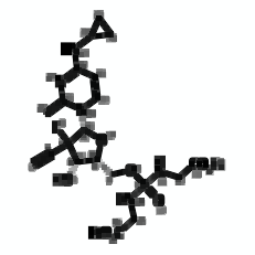 C#CC1(F)[C@@H](O)[C@@H](COP(=O)(NCC(=O)OCC)NCC(=O)OCC)O[C@H]1N1C=CC(NC2CC2)=NC1=C